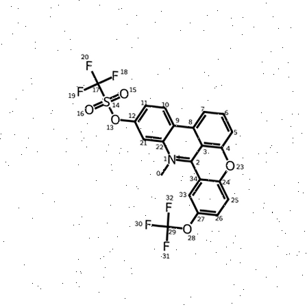 C[n+]1c2c3c(cccc3c3ccc(OS(=O)(=O)C(F)(F)F)cc31)Oc1ccc(OC(F)(F)F)cc1-2